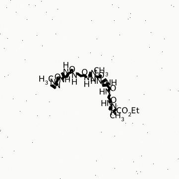 CCOC(=O)c1nc(NC(=O)CCNC(=O)c2cc(NC(=O)c3nc(NC(=O)CCNC(=O)c4cc(NC(=O)c5nccn5C)c[nH]4)cn3C)c[nH]2)cn1C